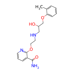 Cc1ccccc1OCC(O)CNCCOc1ncccc1C(N)=O